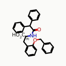 O=C(N[C@H](Cc1ccccc1OCc1ccccc1)C(=O)O)C(c1ccccc1)c1ccccc1